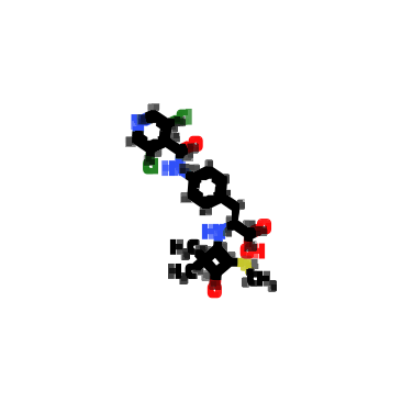 CSC1=C(N[C@@H](Cc2ccc(NC(=O)c3c(Cl)cncc3Cl)cc2)C(=O)O)C(C)(C)C1=O